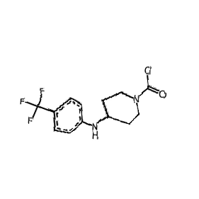 O=C(Cl)N1CCC(Nc2ccc(C(F)(F)F)cc2)CC1